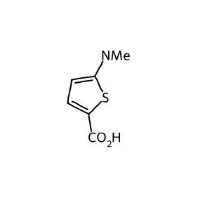 CNc1ccc(C(=O)O)s1